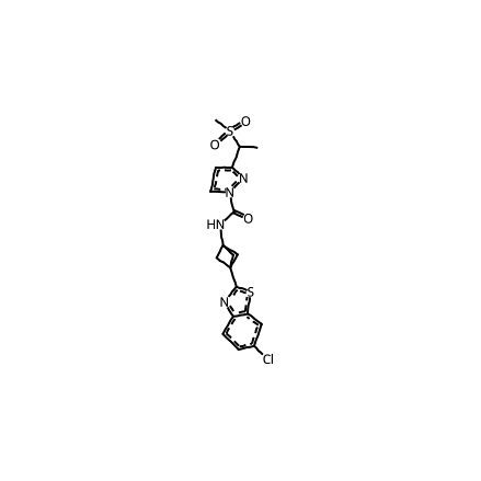 CC(c1ccn(C(=O)NC23CC(c4nc5ccc(Cl)cc5s4)(C2)C3)n1)S(C)(=O)=O